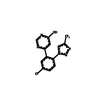 Oc1cc(-c2cc(Cl)ccc2-n2cc(C(F)(F)F)nn2)ncn1